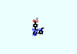 CCc1cccc(C)c1Nc1c(-c2ccc(C(=O)OC)cc2)nc2cnccn12